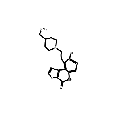 CNCC1CCN(CCc2c(O)ccc3[nH]c(=O)c4sccc4c23)CC1